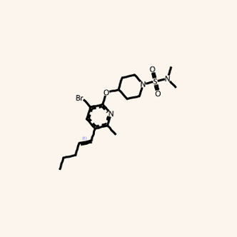 CCC/C=C/c1cc(Br)c(OC2CCN(S(=O)(=O)N(C)C)CC2)nc1C